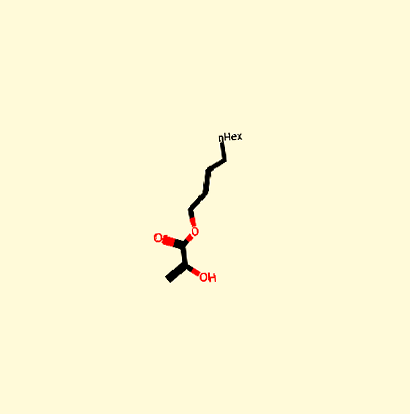 C=C(O)C(=O)OCCCCCCCCCC